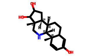 C[C@]12C=CC(O)=CC1CC[C@@H]1[C@H]2NC[C@]2(C)C(O)C(O)C[C@@H]12